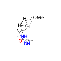 COC[C@H]1CC[C@@H]2C3CC[C@@]4(C)C(CCC4[C@@H](C)NC(=O)c4cc(C)nn4C)[C@@H]3CC[C@@H]2C1